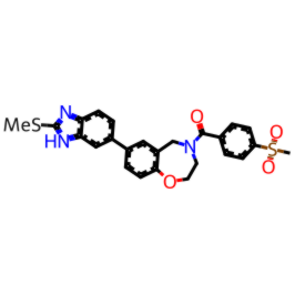 CSc1nc2ccc(-c3ccc4c(c3)CN(C(=O)c3ccc(S(C)(=O)=O)cc3)CCO4)cc2[nH]1